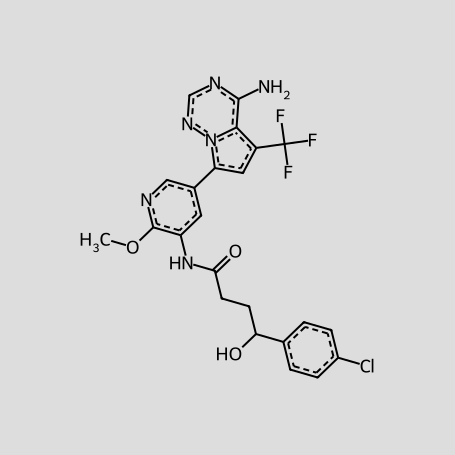 COc1ncc(-c2cc(C(F)(F)F)c3c(N)ncnn23)cc1NC(=O)CCC(O)c1ccc(Cl)cc1